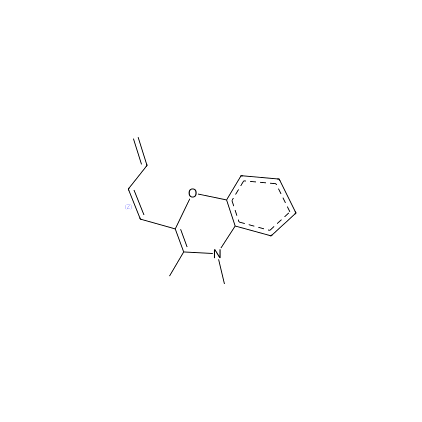 C=C/C=C\C1=C(C)N(C)c2ccccc2O1